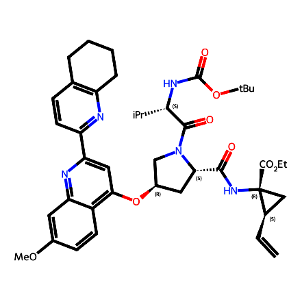 C=C[C@@H]1C[C@]1(NC(=O)[C@@H]1C[C@@H](Oc2cc(-c3ccc4c(n3)CCCC4)nc3cc(OC)ccc23)CN1C(=O)[C@@H](NC(=O)OC(C)(C)C)C(C)C)C(=O)OCC